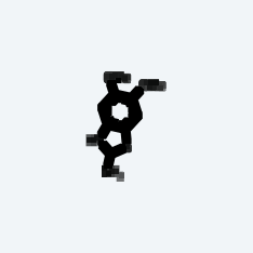 COc1cc2c(cc1OC)SC(N)N2